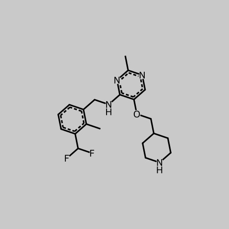 Cc1ncc(OCC2CCNCC2)c(NCc2cccc(C(F)F)c2C)n1